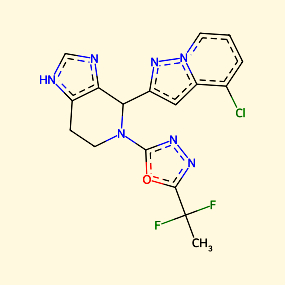 CC(F)(F)c1nnc(N2CCc3[nH]cnc3C2c2cc3c(Cl)cccn3n2)o1